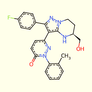 Cc1ccccc1-n1nc(-c2c(-c3ccc(F)cc3)nn3c2N[C@H](CO)CC3)ccc1=O